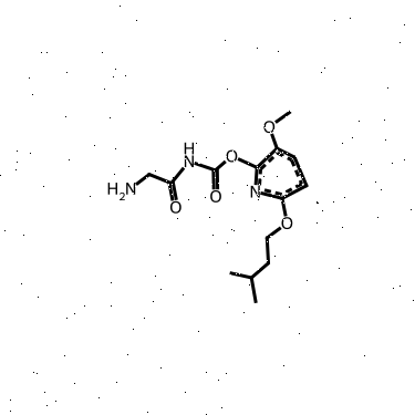 COc1ccc(OCCC(C)C)nc1OC(=O)NC(=O)CN